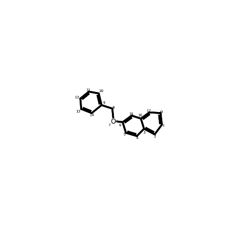 [c]1ccc2ccc(OCc3ccccc3)cc2c1